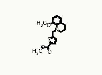 COC(=O)c1ccc(CN2CCCc3cccc(OC)c32)s1